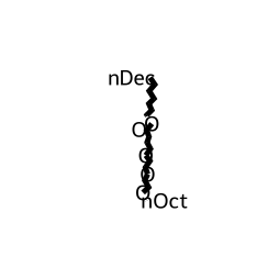 CCCCCCCCCCCCCCCCOC(=O)CCCOCCOCCOCCCCCCCC